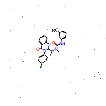 CC(c1nc2ccccc2c(=O)n1C1=CCC(F)C=C1)N(C)C(=O)Nc1cccc(C#N)c1